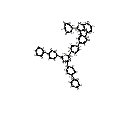 c1ccc(-c2ccc(-c3nc(-c4ccc(-c5ccccc5)cc4)nc(-c4ccc(-c5ccc6c(c5)c5c(-c7ccccc7)nc7cccc6n75)cc4)n3)cc2)cc1